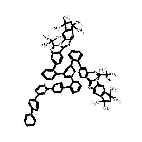 CC(C)(C)c1nc2cc(-c3ccccc3-c3cc(-c4ccccc4-c4ccc(-c5cc(-c6ccc(-c7ccccc7)cc6)ccn5)cc4)cc(-c4ccccc4-c4ccc5c(c4)nc(C(C)(C)C)n4c6cc7c(cc6nc54)C(C)(C)CC7(C)C)c3)ccc2c2nc3cc4c(cc3n12)C(C)(C)CC4(C)C